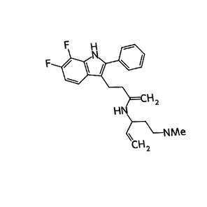 C=CC(CCNC)NC(=C)CCc1c(-c2ccccc2)[nH]c2c(F)c(F)ccc12